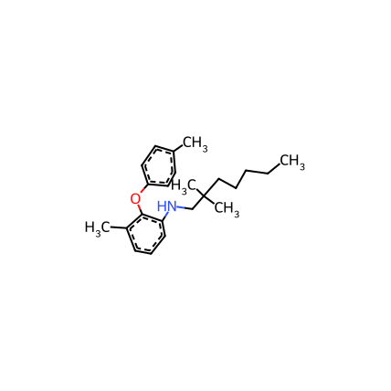 CCCCCC(C)(C)CNc1cccc(C)c1Oc1ccc(C)cc1